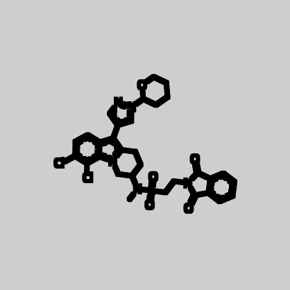 CN(C1CCc2c(-c3cnn(C4CCCCO4)c3)c3ccc(Cl)c(Cl)c3n2C1)S(=O)(=O)CCN1C(=O)c2ccccc2C1=O